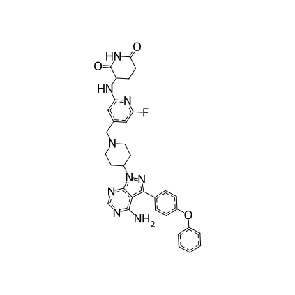 Nc1ncnc2c1c(-c1ccc(Oc3ccccc3)cc1)nn2C1CCN(Cc2cc(F)nc(NC3CCC(=O)NC3=O)c2)CC1